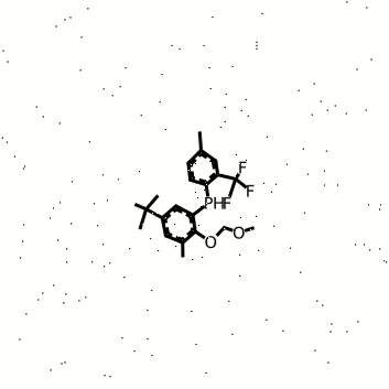 COCOc1c(C)cc(C(C)(C)C)cc1Pc1ccc(C)cc1C(F)(F)F